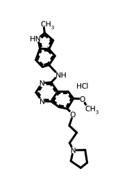 COc1cc2c(Nc3ccc4[nH]c(C)cc4c3)ncnc2cc1OCCCN1CCCC1.Cl